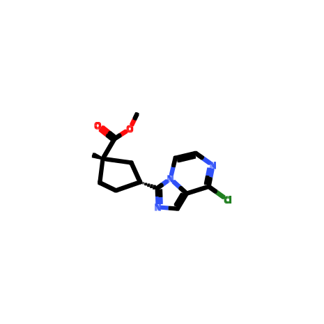 COC(=O)[C@@]1(C)CC[C@@H](c2ncc3c(Cl)nccn23)C1